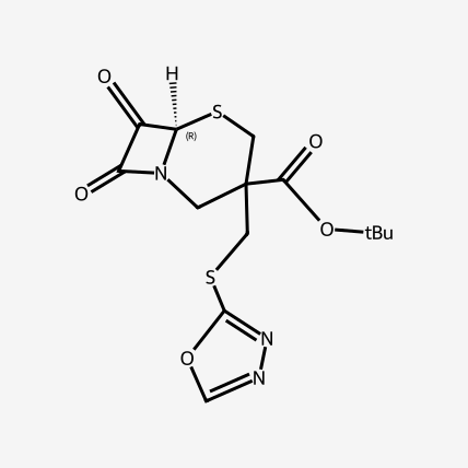 CC(C)(C)OC(=O)C1(CSc2nnco2)CS[C@@H]2C(=O)C(=O)N2C1